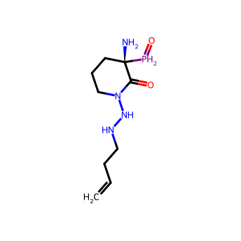 C=CCCNNN1CCC[C@](N)([PH2]=O)C1=O